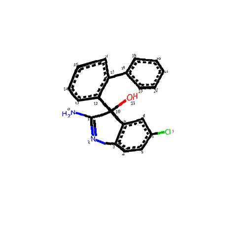 NC1=Nc2ccc(Cl)cc2C1(O)c1ccccc1-c1ccccc1